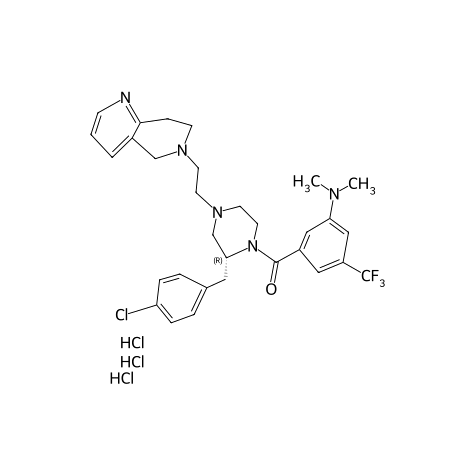 CN(C)c1cc(C(=O)N2CCN(CCN3CCc4ncccc4C3)C[C@H]2Cc2ccc(Cl)cc2)cc(C(F)(F)F)c1.Cl.Cl.Cl